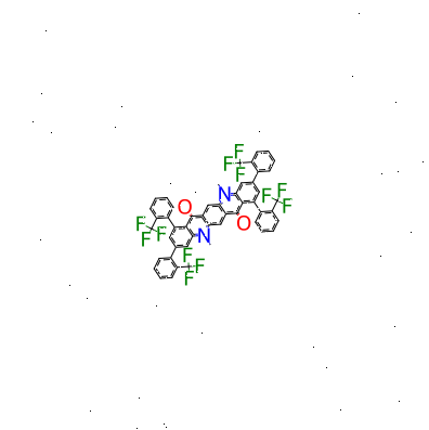 Cn1c2cc3c(=O)c4c(-c5ccccc5C(F)(F)F)cc(-c5ccccc5C(F)(F)F)cc4n(C)c3cc2c(=O)c2c(-c3ccccc3C(F)(F)F)cc(-c3ccccc3C(F)(F)F)cc21